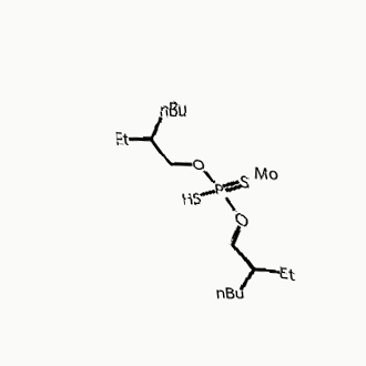 CCCCC(CC)COP(=S)(S)OCC(CC)CCCC.[Mo]